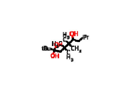 CC(C)CC(O)C(C)(C)C(C)(C)CC(O)(O)C(C)(C)C